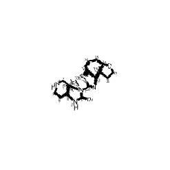 O=C1NC2CCNC[C@H]2N1c1nc2c3c(ccc2s1)OCC3